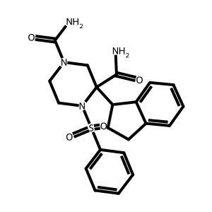 NC(=O)N1CCN(S(=O)(=O)c2ccccc2)C(C(N)=O)(C2CCc3ccccc32)C1